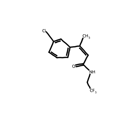 C/C(=C/C(=O)NCC(F)(F)F)c1cccc(Cl)c1